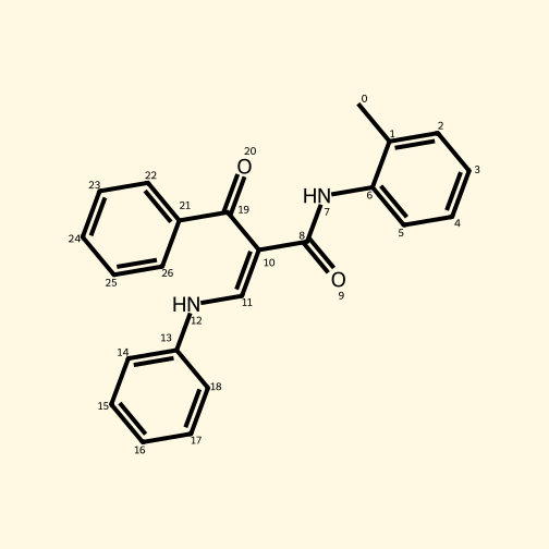 Cc1ccccc1NC(=O)C(=CNc1ccccc1)C(=O)c1ccccc1